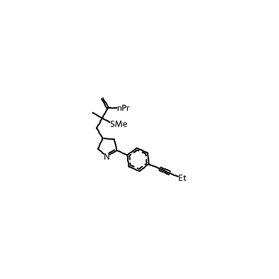 C=C(CCC)C(C)(CC1CN=C(c2ccc(C#CCC)cc2)C1)SC